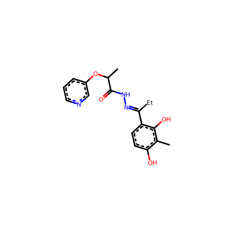 CC/C(=N\NC(=O)C(C)Oc1cccnc1)c1ccc(O)c(C)c1O